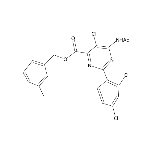 CC(=O)Nc1nc(-c2ccc(Cl)cc2Cl)nc(C(=O)OCc2cccc(C)c2)c1Cl